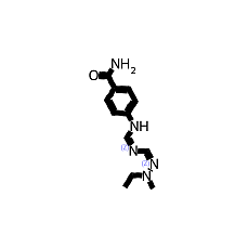 CCN(C)/N=C\N=C/Nc1ccc(C(N)=O)cc1